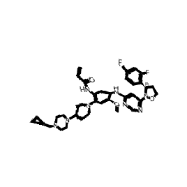 C=CC(=O)Nc1cc(Nc2cc(N3OCC[C@@H]3c3ccc(F)cc3F)ncn2)c(OC)cc1N1CCC(N2CCN(CC3CC3)CC2)CC1